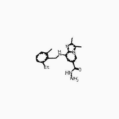 CCc1cccc(C)c1CNc1cc(C(=O)NN)cn2c(C)c(C)nc12